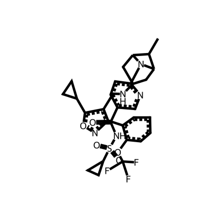 CC1C2CC(NCc3c(-c4ccccc4OC(F)(F)F)noc3C3CC3)CC1N2c1ccc(C(=O)NS(=O)(=O)C2CC2)cn1